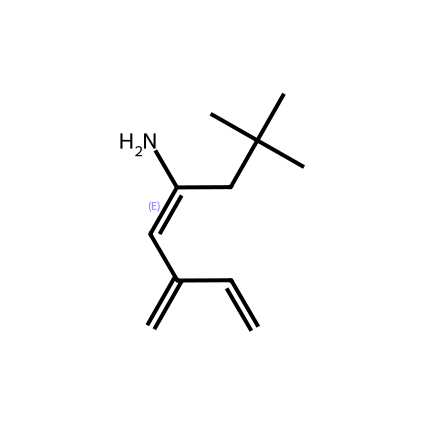 C=CC(=C)/C=C(/N)CC(C)(C)C